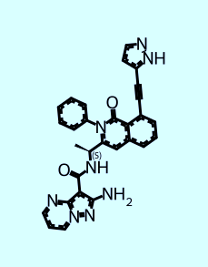 C[C@H](NC(=O)c1c(N)nn2cccnc12)c1cc2cccc(C#Cc3ccn[nH]3)c2c(=O)n1-c1ccccc1